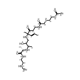 CC=CC(C)(NCC(O)C(C)N[C@@H](C)C(=O)NCCNC(C)CC)C(=O)CCNC(=O)CSCCOC(=O)C(C)C